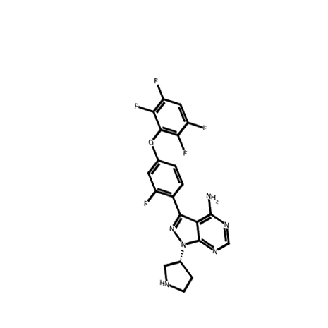 Nc1ncnc2c1c(-c1ccc(Oc3c(F)c(F)cc(F)c3F)cc1F)nn2[C@@H]1CCNC1